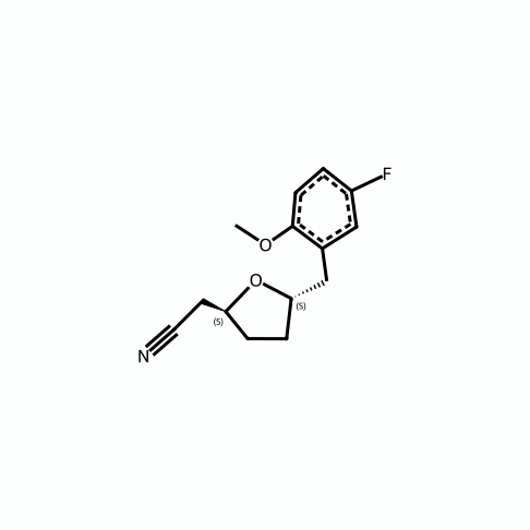 COc1ccc(F)cc1C[C@@H]1CC[C@@H](CC#N)O1